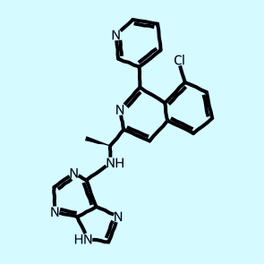 C[C@H](Nc1ncnc2[nH]cnc12)c1cc2cccc(Cl)c2c(-c2cccnc2)n1